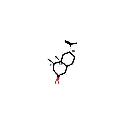 C=C(C)[C@@H]1CCC2CC(=O)C[C@@H](C)[C@]2(C)C1